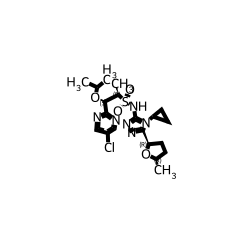 CC(C)O[C@@H](c1ncc(Cl)cn1)[C@H](C)S(=O)(=O)Nc1nnc([C@H]2CC[C@@H](C)O2)n1C1CC1